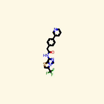 O=C(Cc1ccc(-c2cccnc2)cc1)Nc1ncn2c(C(F)(F)F)csc12